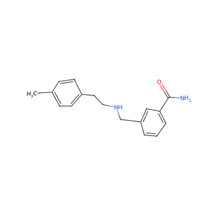 Cc1ccc(CCNCc2cccc(C(N)=O)c2)cc1